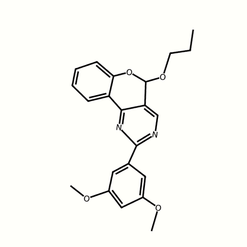 CCCOC1Oc2ccccc2-c2nc(-c3cc(OC)cc(OC)c3)ncc21